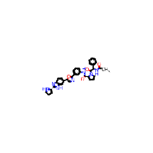 CC(=O)N[C@@H](C(=O)N1CCC[C@H]1C(=O)Nc1cccc(-c2ncc(-c3ccc4nc([C@@H]5CCCN5)[nH]c4c3)o2)c1)c1ccccc1